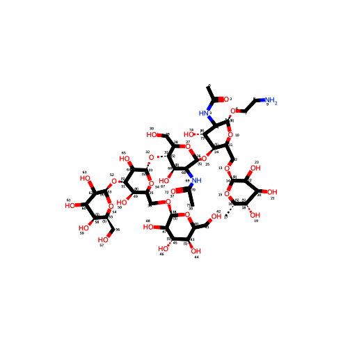 CC(=O)NC1[C@H](OCCN)OC(CO[C@@H]2O[C@@H](C)[C@@H](O)C(O)C2O)[C@@H](O[C@@H]2OC(CO)[C@@H](O[C@@H]3OC(CO[C@H]4OC(CO)[C@@H](O)[C@H](O)C4O)[C@@H](O)[C@H](O[C@H]4O[C@@H](CO)[C@@H](O)C(O)C4O)C3O)[C@H](O)C2NC(C)=O)[C@@H]1O